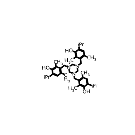 Cc1cc(C(C)C)c(O)c(C)c1CN1CN(Cc2c(C)cc(C(C)C)c(O)c2C)CN(Cc2c(C)cc(C(C)C)c(O)c2C)C1